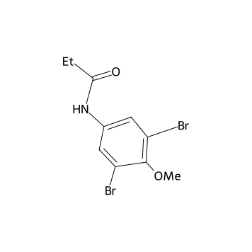 CCC(=O)Nc1cc(Br)c(OC)c(Br)c1